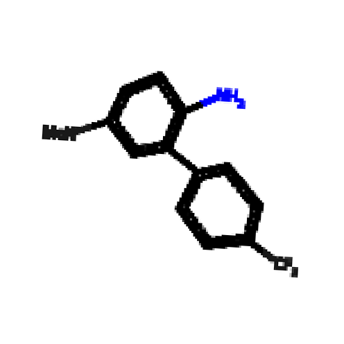 CNc1ccc(N)c(-c2ccc(C(F)(F)F)cc2)c1